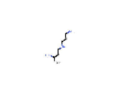 NCCCNCCC(N)C(=O)O